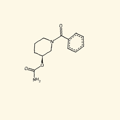 NC(=O)O[C@H]1CCCN(C(=O)c2ccccc2)C1